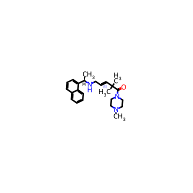 C[C@@H](NC/C=C/C(C)(C)C(=O)N1CCN(C)CC1)c1cccc2ccccc12